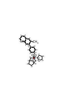 Cc1cc2cccnc2cc1-c1ccc(OC2CC3CCC(C2)N3C(=O)[C@H]2CCCO2)cc1